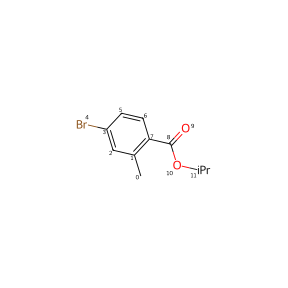 Cc1cc(Br)ccc1C(=O)OC(C)C